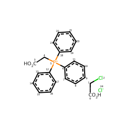 O=C(O)CCl.O=C(O)C[P+](c1ccccc1)(c1ccccc1)c1ccccc1.[Cl-]